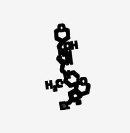 CCc1cc2c(s1)CCO[C@@]21CCN(Cc2cn(CC3(O)CCOCC3)nn2)[C@@H](C)C1